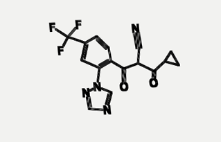 N#CC(C(=O)c1ccc(C(F)(F)F)cc1-n1cncn1)C(=O)C1CC1